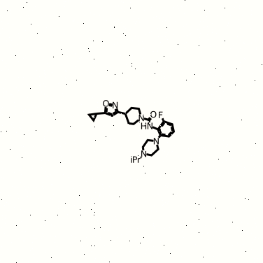 CC(C)N1CCN(c2cccc(F)c2NC(=O)N2CCC(c3cc(C4CC4)on3)CC2)CC1